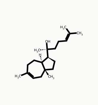 CC(C)=CCC[C@](C)(O)[C@H]1CC[C@]2(C)CC=C(C)CC[C@@H]12